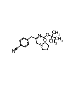 CC(C)(C)OC(=O)/N=C(/Cc1ccc(C#N)cc1)CN1CCCC1